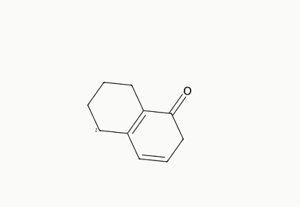 O=C1CC=CC2=C1CCC[C]2